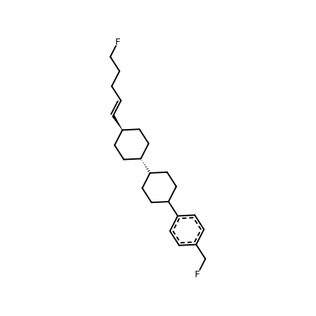 FCCC/C=C/[C@H]1CC[C@H](C2CCC(c3ccc(CF)cc3)CC2)CC1